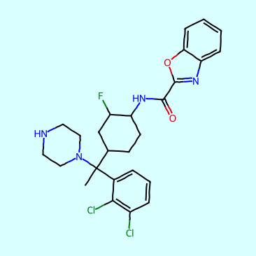 CC(c1cccc(Cl)c1Cl)(C1CCC(NC(=O)c2nc3ccccc3o2)C(F)C1)N1CCNCC1